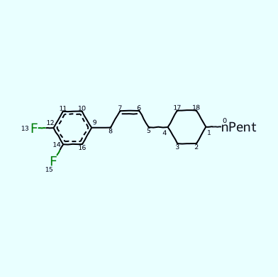 CCCCCC1CCC(C/C=C\Cc2ccc(F)c(F)c2)CC1